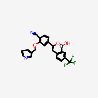 N#Cc1ccc(C2Cc3ccc(C(F)(F)F)cc3B(O)O2)cc1OCc1cccnc1